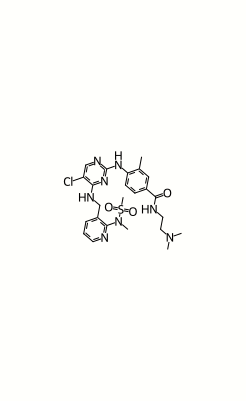 Cc1cc(C(=O)NCCN(C)C)ccc1Nc1ncc(Cl)c(NCc2cccnc2N(C)S(C)(=O)=O)n1